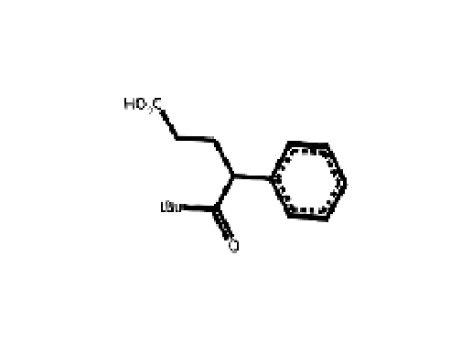 CC(C)(C)C(=O)C(CCC(=O)O)c1ccccc1